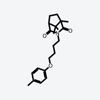 Cc1ccc(OCCCCN2C(=O)C3CCC(C)(C2=O)C3(C)C)cc1